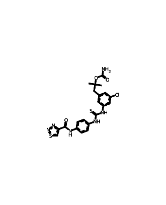 CC(C)(Cc1cc(Cl)cc(NC(=S)Nc2ccc(NC(=O)c3csnn3)cc2)c1)OC(N)=O